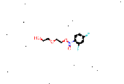 O=[N+](OCCOCCO)c1ccc(F)cc1F